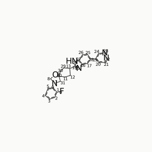 Fc1ccccc1N1COC2(CCC(c3nc4cc(-c5ccnnc5)ccc4[nH]3)CC2)C1